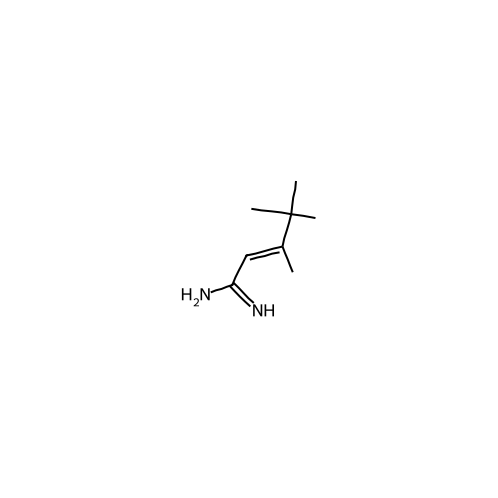 C/C(=C\C(=N)N)C(C)(C)C